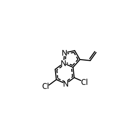 C=Cc1cnn2cc(Cl)nc(Cl)c12